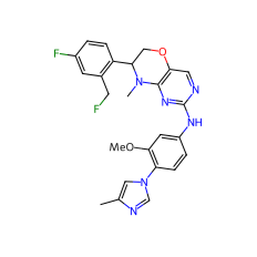 COc1cc(Nc2ncc3c(n2)N(C)C(c2ccc(F)cc2CF)CO3)ccc1-n1cnc(C)c1